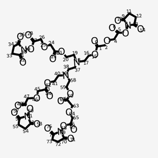 O=C(COCC(=O)ON1C(=O)CCC1=O)OCCN(CCOC(=O)COCC(=O)ON1C(=O)CCC1=O)CCN(CCOC(=O)COCC(=O)ON1C(=O)CCC1=O)CCOC(=O)COCC(=O)ON1C(=O)CCC1=O